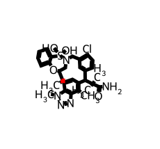 CCC1CN(Cc2cc(C(c3ccc4c(nnn4C)c3C)C(C)(C)C(N)=O)ccc2Cl)S(O)(O)c2ccccc2O1